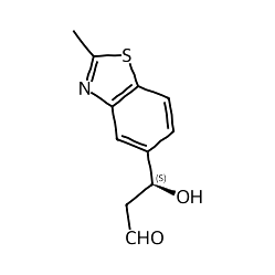 Cc1nc2cc([C@@H](O)CC=O)ccc2s1